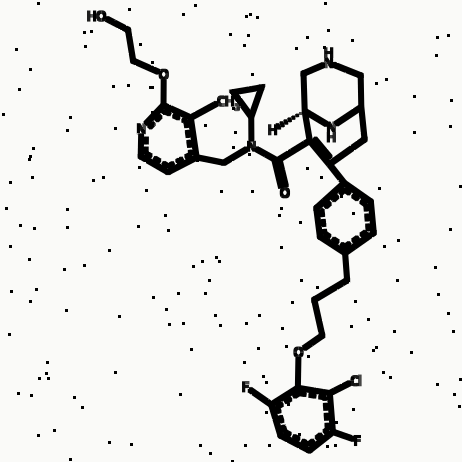 Cc1c(CN(C(=O)C2=C(c3ccc(CCCOc4c(F)ccc(F)c4Cl)cc3)CC3CNC[C@H]2N3)C2CC2)ccnc1OCCO